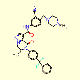 C[C@H]1Cn2ncc(C(=O)Nc3ccc(CN4CCN(C)CC4)c(C#N)c3)c2C(=O)N1c1ccc(C(F)(F)c2ccccc2)cc1